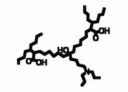 CCCCC(CCCC)C(CCCCCCC(O)(CCCCCCC(C(=O)O)C(CCCC)CCCC)CCCCN(CCC)CCC)C(=O)O